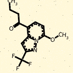 CCCC(=O)c1ccc(OC)n2nc(C(F)(F)F)cc12